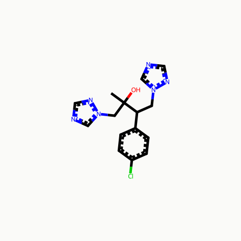 CC(O)(Cn1cncn1)C(Cn1cncn1)c1ccc(Cl)cc1